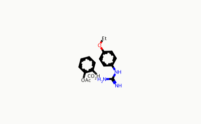 CC(=O)Oc1ccccc1C(=O)O.CCOc1ccc(NC(=N)N)cc1